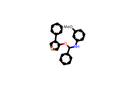 COc1cccc(NC(Oc2cscc2-c2ccccc2)c2ccccc2)c1